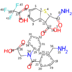 NC(=O)C1SC2C=CC=CC2C1C(=O)O.NCc1cccc(C(=O)N(CC(=O)O)c2ccccc2)c1.O=C(O)C(F)(F)F